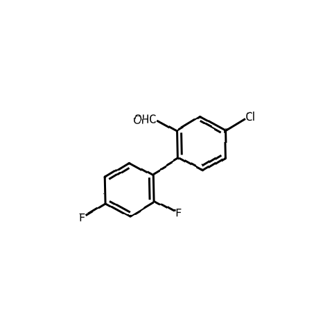 O=Cc1cc(Cl)ccc1-c1ccc(F)cc1F